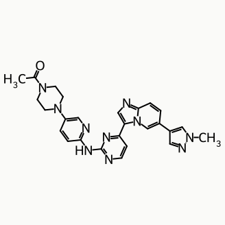 CC(=O)N1CCN(c2ccc(Nc3nccc(-c4cnc5ccc(-c6cnn(C)c6)cn45)n3)nc2)CC1